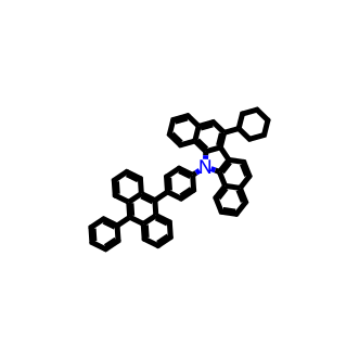 c1ccc(-c2c3ccccc3c(-c3ccc(-n4c5c6ccccc6ccc5c5c(C6CCCCC6)cc6ccccc6c54)cc3)c3ccccc23)cc1